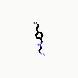 C/C=C/c1ccc(CNCCN)cc1